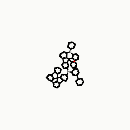 c1ccc(-c2cccc(N(c3ccc4c(c3)C3(c5ccccc5-c5ccccc53)c3ccccc3-4)c3ccc4c(c3)C3(c5ccccc5)c5ccccc5N(c5ccccc5)c5cccc-4c53)c2)cc1